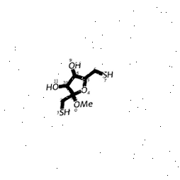 COC1(CS)OC(CS)C(O)C1O